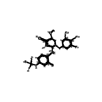 COc1cn(Cc2cc(F)c(F)c(F)c2)c(Nc2ccc(OC(F)(F)F)cc2C)nc1=O